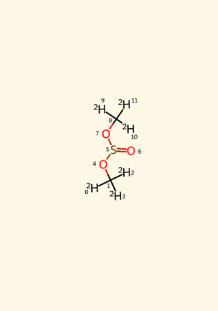 [2H]C([2H])([2H])OS(=O)OC([2H])([2H])[2H]